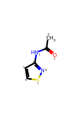 CC(=O)Nc1ccsn1